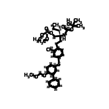 CCC[C@](CCc1ccc(Sc2ccc(OCOC)c(-c3ccccc3)c2)cc1Cl)(COP(=O)(OC)OC)NC(=O)OC(C)(C)C